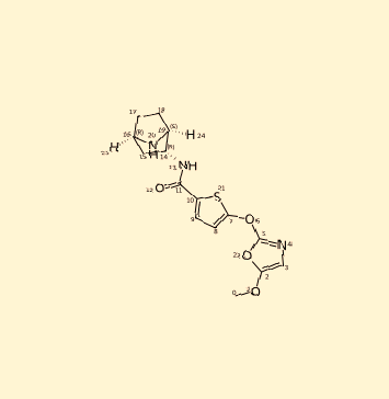 COc1cnc(Oc2ccc(C(=O)N[C@@H]3C[C@H]4CC[C@@H]3N4)s2)o1